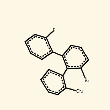 N#Cc1ccccc1-c1c(Br)[c]ccc1-c1ccccc1F